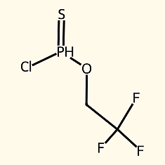 FC(F)(F)CO[PH](=S)Cl